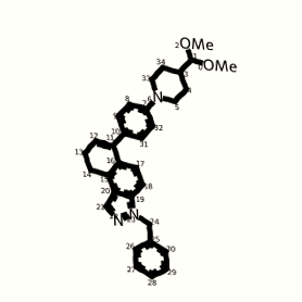 COC(OC)C1CCN(c2ccc(C3=CCCc4c3ccc3c4cnn3Cc3ccccc3)cc2)CC1